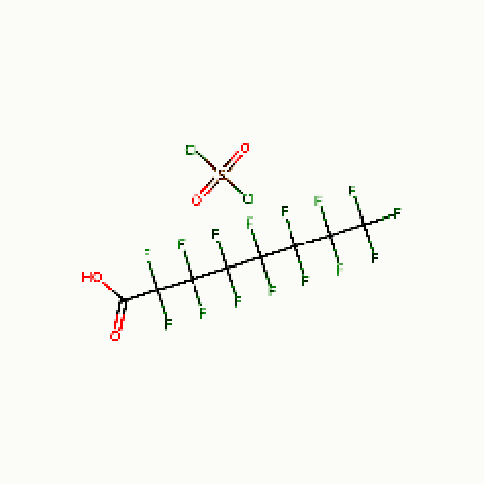 O=C(O)C(F)(F)C(F)(F)C(F)(F)C(F)(F)C(F)(F)C(F)(F)C(F)(F)F.O=S(=O)(Cl)Cl